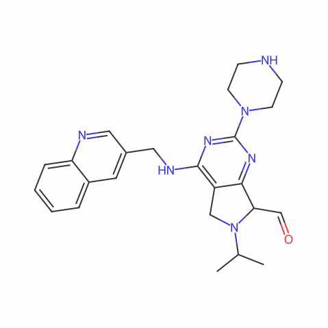 CC(C)N1Cc2c(NCc3cnc4ccccc4c3)nc(N3CCNCC3)nc2C1C=O